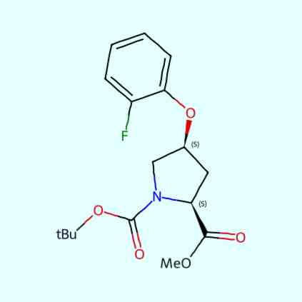 COC(=O)[C@@H]1C[C@H](Oc2ccccc2F)CN1C(=O)OC(C)(C)C